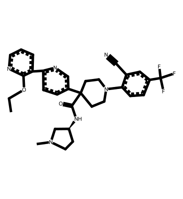 CCOc1ncccc1-c1ccc(C2(C(=O)N[C@H]3CCN(C)C3)CCN(c3ccc(C(F)(F)F)cc3C#N)CC2)cn1